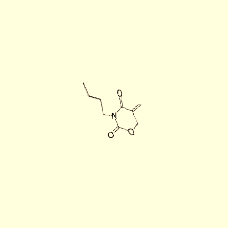 C=C1COC(=O)N(CCCC)C1=O